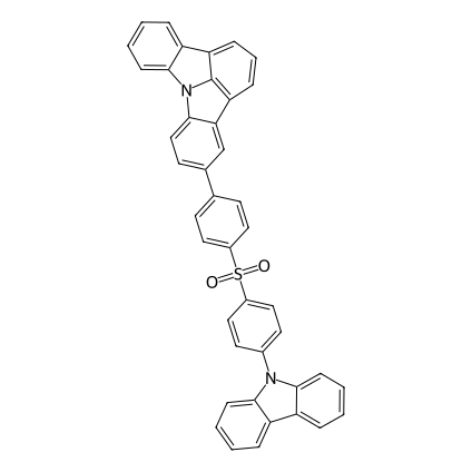 O=S(=O)(c1ccc(-c2ccc3c(c2)c2cccc4c5ccccc5n3c42)cc1)c1ccc(-n2c3ccccc3c3ccccc32)cc1